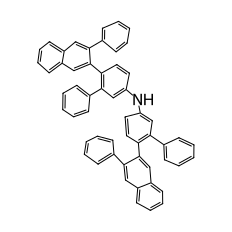 c1ccc(-c2cc(Nc3ccc(-c4cc5ccccc5cc4-c4ccccc4)c(-c4ccccc4)c3)ccc2-c2cc3ccccc3cc2-c2ccccc2)cc1